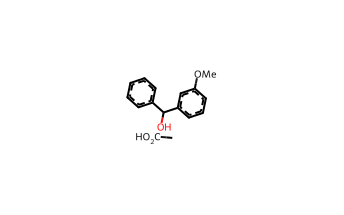 CC(=O)O.COc1cccc(C(O)c2ccccc2)c1